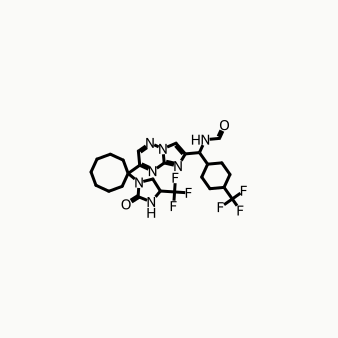 O=CNC(c1cn2ncc(C3(N4CC(C(F)(F)F)NC4=O)CCCCCCC3)nc2n1)C1CCC(C(F)(F)F)CC1